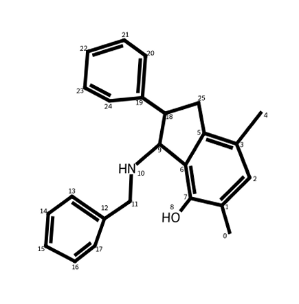 Cc1cc(C)c2c(c1O)C(NCc1ccccc1)C(c1ccccc1)C2